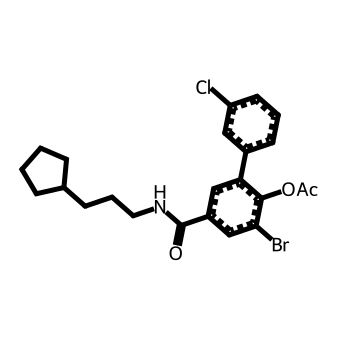 CC(=O)Oc1c(Br)cc(C(=O)NCCCC2CCCC2)cc1-c1cccc(Cl)c1